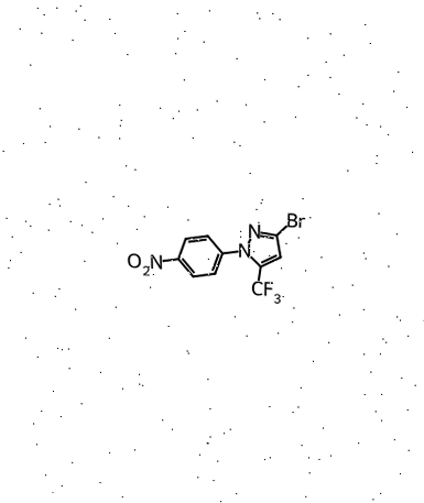 O=[N+]([O-])c1ccc(-n2nc(Br)cc2C(F)(F)F)cc1